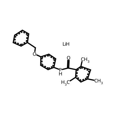 Cc1cc(C)c(C(=O)Pc2ccc(OCc3ccccc3)cc2)c(C)c1.[LiH]